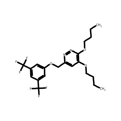 CCCCOc1cc(COc2cc(C(F)(F)F)cc(C(F)(F)F)c2)nnc1OCCCC